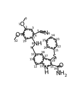 COc1cc(C#N)c(NCc2ccc3[nH]c(C(N)=O)c(Sc4ccccc4)c3c2)cc1OC